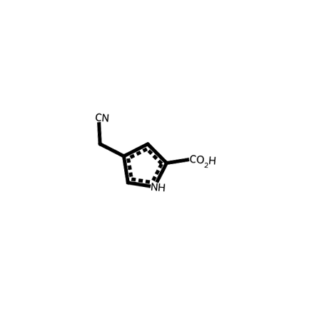 N#CCc1c[nH]c(C(=O)O)c1